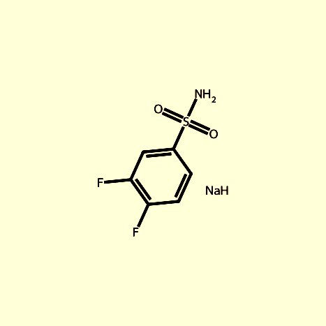 NS(=O)(=O)c1ccc(F)c(F)c1.[NaH]